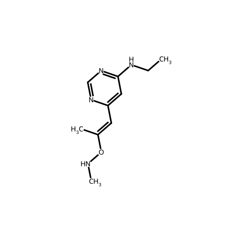 CCNc1cc(/C=C(\C)ONC)ncn1